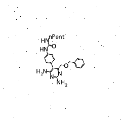 CCCCCNC(=O)Nc1ccc(-c2c(N)nc(N)nc2COCc2ccccc2)cc1